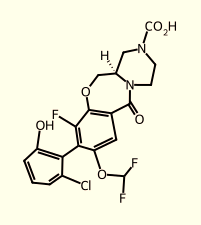 O=C(O)N1CCN2C(=O)c3cc(OC(F)F)c(-c4c(O)cccc4Cl)c(F)c3OC[C@H]2C1